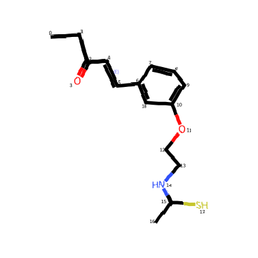 CCC(=O)/C=C/c1cccc(OCCNC(C)S)c1